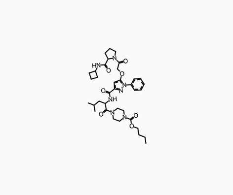 CCCCOC(=O)N1CCN(C(=O)C(CC(C)C)NC(=O)c2cc(OCC(=O)N3CCCC3C(=O)NC3CCC3)n(-c3ccccc3)n2)CC1